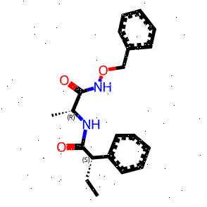 CC[C@H](C(=O)N[C@H](C)C(=O)NOCc1ccccc1)c1ccccc1